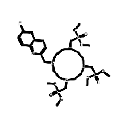 COP(=O)(CN1CCN(Cc2ccc3cc(F)ccc3n2)CCN(CP(=O)(OC)OC)CCN(CP(=O)(OC)OC)CC1)OC